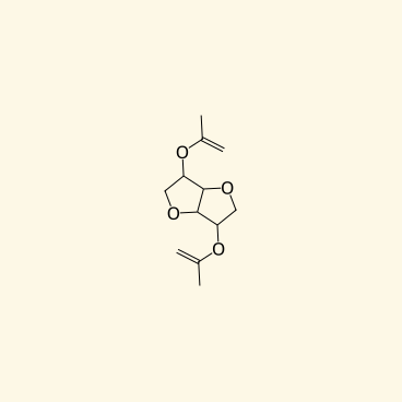 C=C(C)OC1COC2C(OC(=C)C)COC12